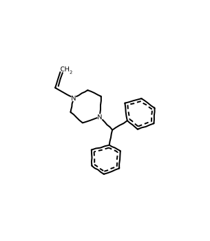 C=CN1CCN(C(c2ccccc2)c2ccccc2)CC1